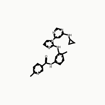 Cc1ccc(C(=O)Nc2ccc(C)c(Nc3nccn3-c3cc(NC4CC4)ncn3)c2)cn1